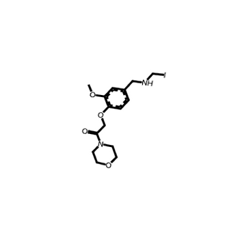 COc1cc(CNCI)ccc1OCC(=O)N1CCOCC1